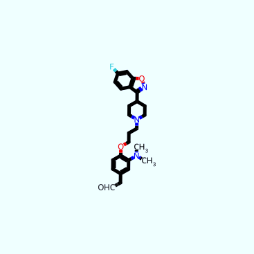 CN(C)c1cc(CC=O)ccc1OCCCN1CCC(c2noc3cc(F)ccc23)CC1